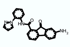 Nc1ccc2c(c1)C(=O)c1c(C(=O)Nc3ccccc3-n3cccn3)cccc1-2